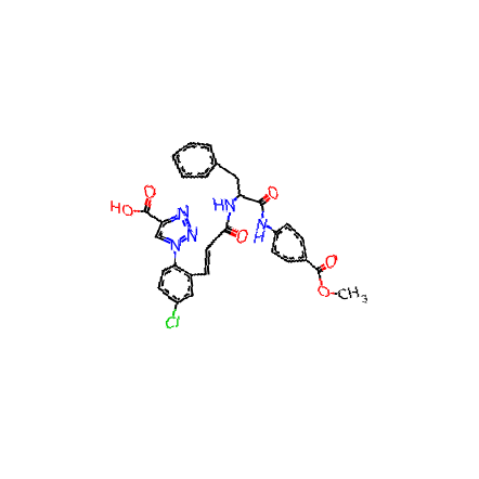 COC(=O)c1ccc(NC(=O)C(Cc2ccccc2)NC(=O)C=Cc2cc(Cl)ccc2-n2cc(C(=O)O)nn2)cc1